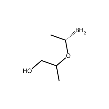 B[C@@H](C)OC(C)CO